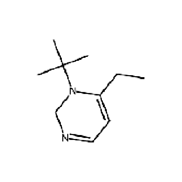 CCC1=CC=NCN1C(C)(C)C